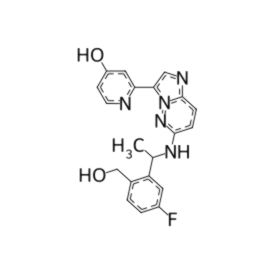 CC(Nc1ccc2ncc(-c3cc(O)ccn3)n2n1)c1cc(F)ccc1CO